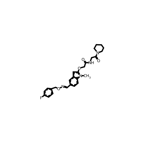 Cn1c(OCC(=O)NCC(=O)N2CCCCC2)cc2cc(C=NOCc3ccc(F)cc3)ccc21